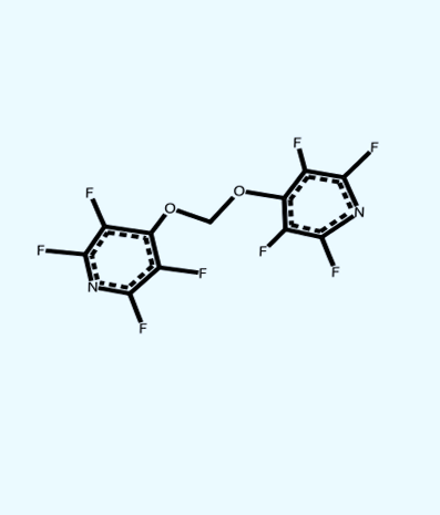 Fc1nc(F)c(F)c(OCOc2c(F)c(F)nc(F)c2F)c1F